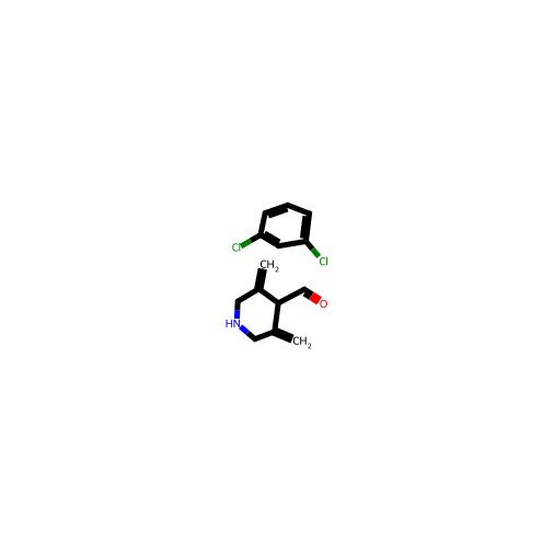 C=C1CNCC(=C)C1C=O.Clc1cccc(Cl)c1